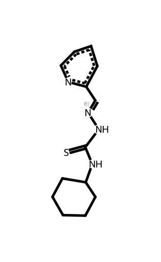 S=C(N/N=C/c1ccccn1)NC1CCCCC1